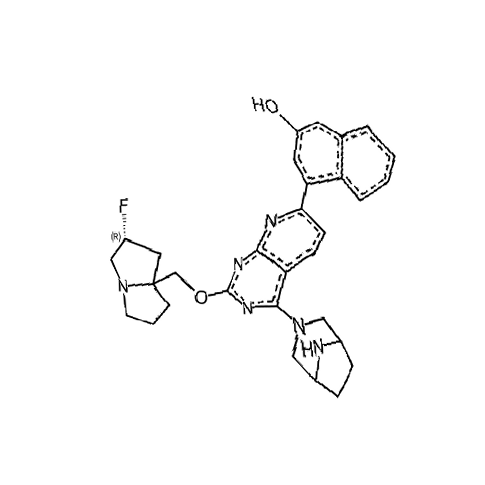 Oc1cc(-c2ccc3c(N4CC5CCC(C4)N5)nc(OCC45CCCN4C[C@H](F)C5)nc3n2)c2ccccc2c1